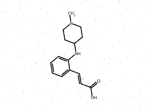 CN1CCC(Nc2ccccc2/C=C/C(=O)O)CC1